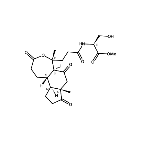 COC(=O)[C@H](CO)NC(=O)CC[C@@]1(C)OC(=O)CC[C@@H]2[C@@H]1C(=O)C[C@]1(C)C(=O)CC[C@@H]21